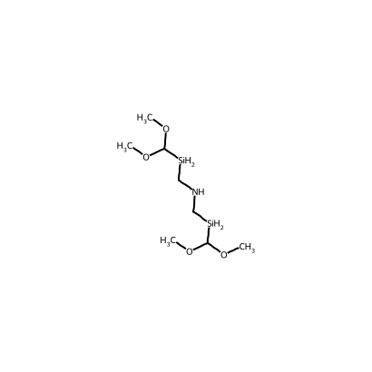 COC(OC)[SiH2]CNC[SiH2]C(OC)OC